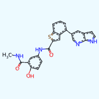 CNC(=O)c1cc(NC(=O)c2cc3c(-c4cnc5[nH]ccc5c4)cccc3s2)ccc1O